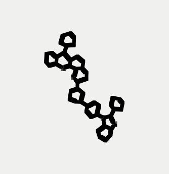 c1ccc(-c2c3ccccc3nc3c2ccc2ccc(-c4cccc(-c5ccc(-n6c(-c7ccccc7)nc7ccccc76)cc5)c4)nc23)cc1